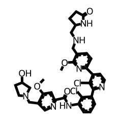 COc1cc(C(=O)Nc2cccc(-c3nccc(-c4ccc(CNCC5CCC(=O)N5)c(OC)n4)c3Cl)c2Cl)ncc1CN1CCC(O)C1